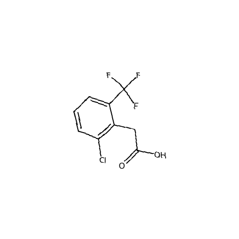 O=C(O)Cc1c(Cl)cccc1C(F)(F)F